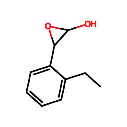 CCc1ccccc1C1OC1O